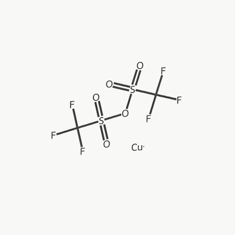 O=S(=O)(OS(=O)(=O)C(F)(F)F)C(F)(F)F.[Cu]